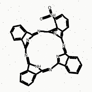 O=[SH](=O)c1cccc2c3nc4nc(nc5[nH]c(nc6nc(nc([nH]3)c12)-c1ccccc1-6)c1ccccc51)-c1ccccc1-4